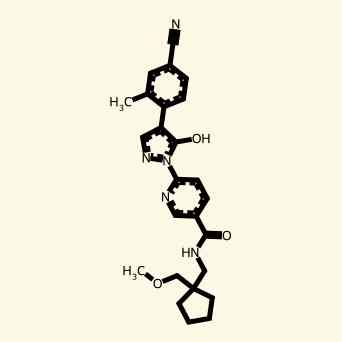 COCC1(CNC(=O)c2ccc(-n3ncc(-c4ccc(C#N)cc4C)c3O)nc2)CCCC1